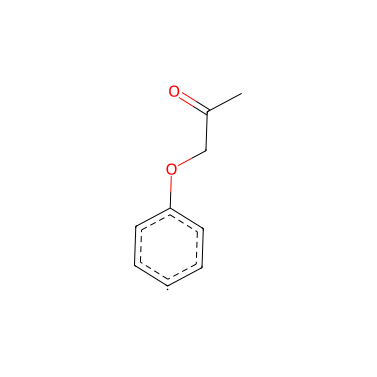 CC(=O)COc1cc[c]cc1